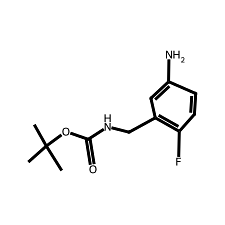 CC(C)(C)OC(=O)NCc1cc(N)ccc1F